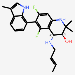 CC=CCN[C@@H]1c2c(cc(F)c(-c3cccc4c(C)c[nH]c34)c2F)NC(C)(C)[C@H]1O